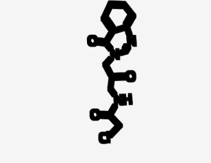 O=C(CNC(=O)CCl)Cn1cnc2ccccc2c1=O